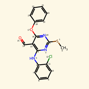 CSc1nc(Nc2ccccc2Cl)c(C=O)c(Oc2ccccc2)n1